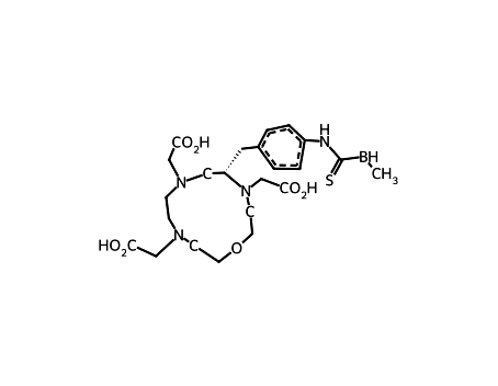 CBC(=S)Nc1ccc(C[C@H]2CN(CC(=O)O)CCN(CC(=O)O)CCOCCN2CC(=O)O)cc1